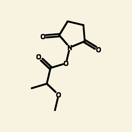 COC(C)C(=O)ON1C(=O)CCC1=O